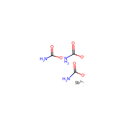 NC(=O)[O-].NC(=O)[O-].NC(=O)[O-].[Sb+3]